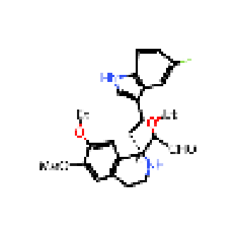 CCOc1cc2c(cc1OC)CCN[C@]2(CCc1c[nH]c2ccc(F)cc12)C(C=O)OCC